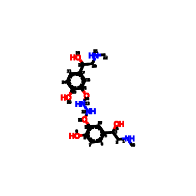 CNCC(O)c1ccc(O)c(ONNOc2cc(C(O)CNC)ccc2O)c1